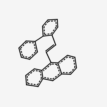 C(=Cc1c2ccccc2cc2ccccc12)c1ccccc1-c1ccccc1